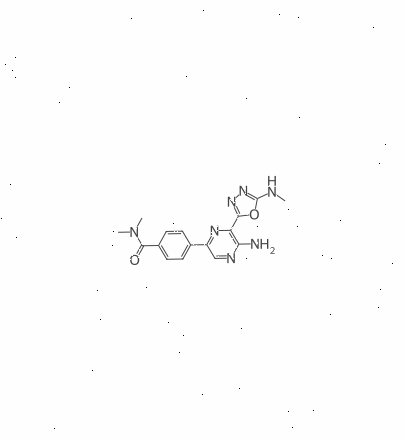 CNc1nnc(-c2nc(-c3ccc(C(=O)N(C)C)cc3)cnc2N)o1